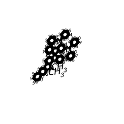 CC1(C)c2cc(C3(c4ccccc4)c4ccccc4-c4c(N(c5ccccc5)c5ccccc5)cc(N(c5ccccc5)c5ccccc5)cc43)ccc2-c2cc3ccccc3cc21